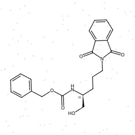 O=C(N[C@H](CO)CCCN1C(=O)c2ccccc2C1=O)OCc1ccccc1